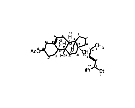 CCC(C=CC(C)[C@H]1CC[C@H]2[C@@H]3CC=C4CC(OC(C)=O)CC[C@]4(C)[C@H]3CC[C@]12C)C(C)C